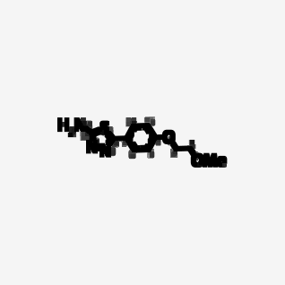 COCCOc1ccc(-c2nnc(N)s2)cc1